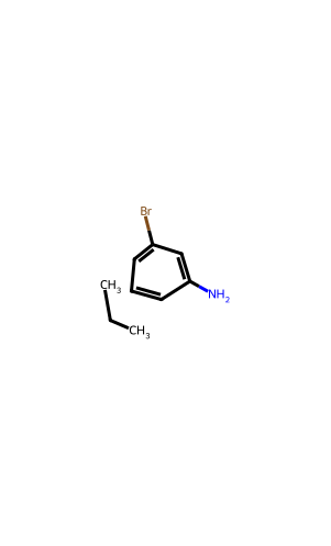 CCC.Nc1cccc(Br)c1